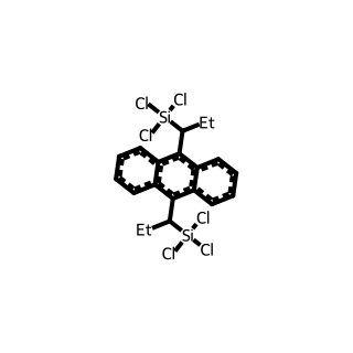 CCC(c1c2ccccc2c(C(CC)[Si](Cl)(Cl)Cl)c2ccccc12)[Si](Cl)(Cl)Cl